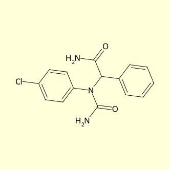 NC(=O)C(c1ccccc1)N(C(N)=O)c1ccc(Cl)cc1